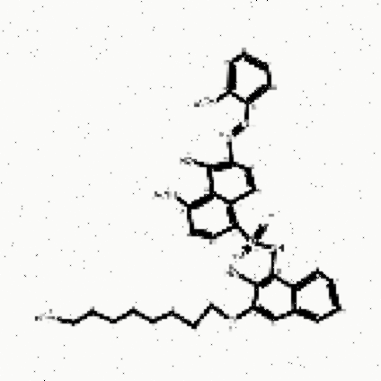 CCCCCCCCCCCCCCCCCCOc1cc2ccccc2c(NS(=O)(=O)c2ccc(NC(C)=O)c3c(O)c(N=Nc4ccccc4OC)ccc23)c1O